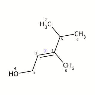 C/C(=C\CO)C(C)C